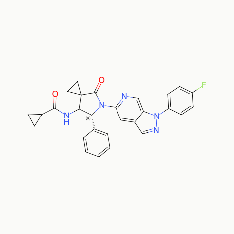 O=C(NC1[C@@H](c2ccccc2)N(c2cc3cnn(-c4ccc(F)cc4)c3cn2)C(=O)C12CC2)C1CC1